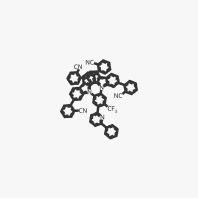 N#Cc1ccccc1-c1ccc2c3ccc(-c4ccccc4C#N)cc3n(-c3cc(-c4cccc(-c5ccccc5)n4)c(C(F)(F)F)cc3-n3c4cc(-c5ccccc5C#N)ccc4c4ccc(-c5ccccc5C#N)cc43)c2c1